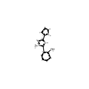 Oc1ccccc1-c1nnc(-c2cccs2)o1.[Zn]